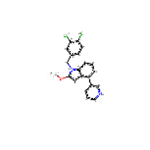 O=C(O)Oc1cc2c(-c3cccnc3)cccc2n1Cc1ccc(Cl)c(Cl)c1